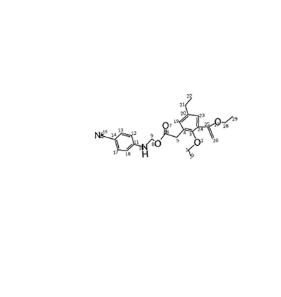 [CH2]COc1c(CC(=O)OCNc2ccc(C#N)cc2)cc(CC)cc1C(=C)OCC